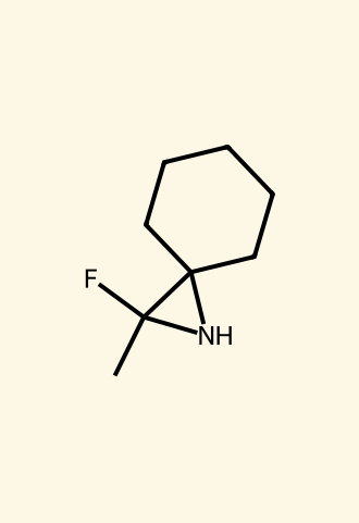 CC1(F)NC12CCCCC2